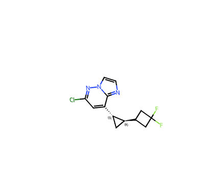 FC1(F)CC([C@H]2C[C@@H]2c2cc(Cl)nn3ccnc23)C1